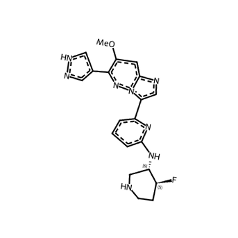 COc1cc2ncc(-c3cccc(N[C@H]4CNCC[C@@H]4F)n3)n2nc1-c1cn[nH]c1